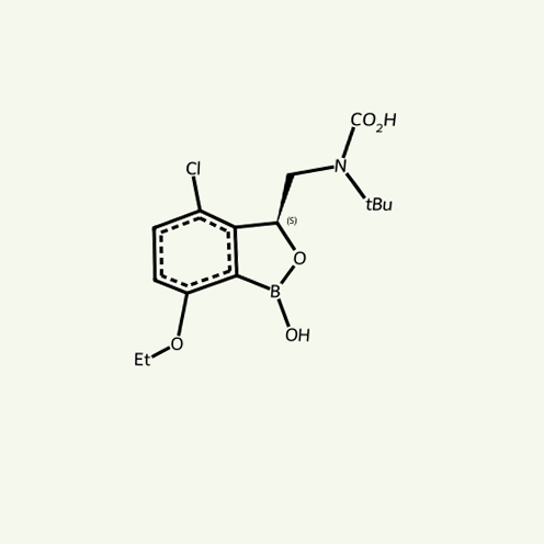 CCOc1ccc(Cl)c2c1B(O)O[C@@H]2CN(C(=O)O)C(C)(C)C